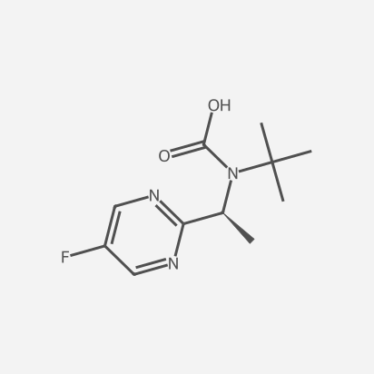 C[C@@H](c1ncc(F)cn1)N(C(=O)O)C(C)(C)C